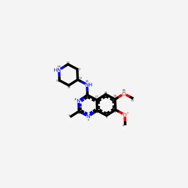 COc1cc2nc(C)nc(NC3CCNCC3)c2cc1OC